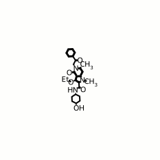 CCOc1c(C(=O)N[C@H]2CC[C@H](O)CC2)n(C)c2cc(C)n(CC(=O)c3ccccc3)c(=O)c12